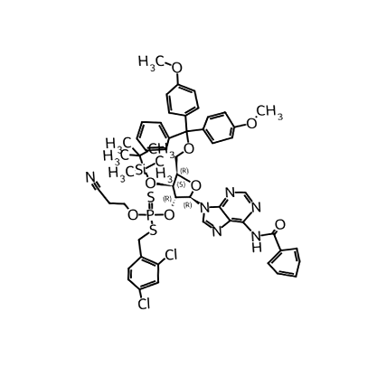 COc1ccc(C(OC[C@H]2O[C@@H](n3cnc4c(NC(=O)c5ccccc5)ncnc43)[C@H](OP(=S)(OCCC#N)SCc3ccc(Cl)cc3Cl)[C@H]2O[Si](C)(C)C(C)(C)C)(c2ccccc2)c2ccc(OC)cc2)cc1